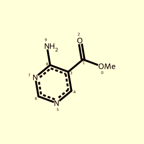 COC(=O)c1cncnc1N